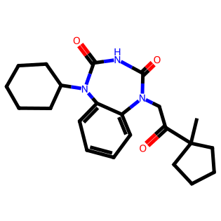 CC1(C(=O)CN2C(=O)NC(=O)N(C3CCCCC3)c3ccccc32)CCCC1